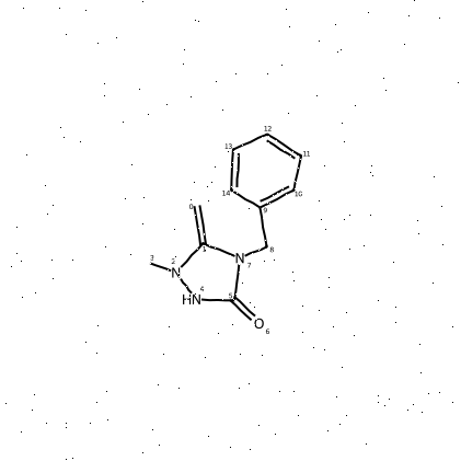 C=C1N(C)NC(=O)N1Cc1ccccc1